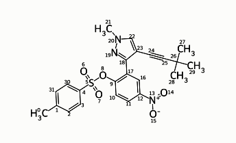 Cc1ccc(S(=O)(=O)Oc2ccc([N+](=O)[O-])cc2-c2nn(C)cc2C#CC(C)(C)C)cc1